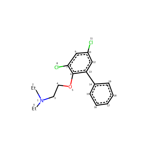 CCN(CC)CCOc1c(Cl)cc(Cl)cc1-c1ccccc1